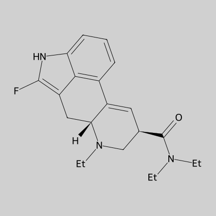 CCN(CC)C(=O)[C@@H]1C=C2c3cccc4[nH]c(F)c(c34)C[C@H]2N(CC)C1